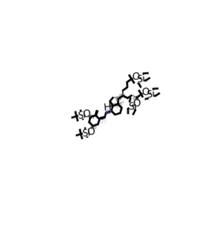 C=C1/C(=C\C=C2/CCC[C@@]3(C)[C@@H]2CC[C@@H]3[C@@H](CCCC(C)(C)O[Si](CC)(CC)CC)CC[C@@H](O[Si](CC)(CC)CC)C(C)(C)O[Si](CC)(CC)CC)C[C@@H](O[Si](C)(C)C(C)(C)C)C[C@@H]1O[Si](C)(C)C(C)(C)C